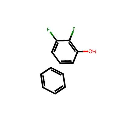 Oc1cccc(F)c1F.c1ccccc1